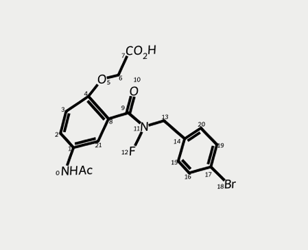 CC(=O)Nc1ccc(OCC(=O)O)c(C(=O)N(F)Cc2ccc(Br)cc2)c1